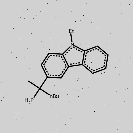 CCCCC(C)(P)c1ccc2c(c1)c1ccccc1n2CC